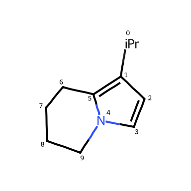 CC(C)c1ccn2c1CCCC2